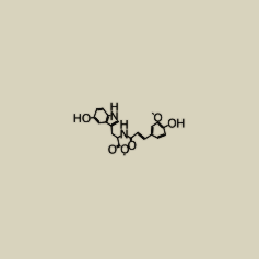 COC(=O)C(Cc1c[nH]c2ccc(O)cc12)NC(=O)/C=C/c1ccc(O)c(OC)c1